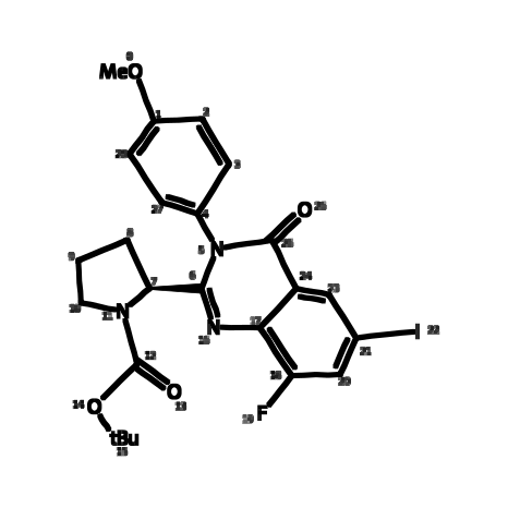 COc1ccc(-n2c([C@@H]3CCCN3C(=O)OC(C)(C)C)nc3c(F)cc(I)cc3c2=O)cc1